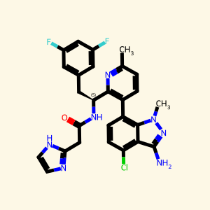 Cc1ccc(-c2ccc(Cl)c3c(N)nn(C)c23)c([C@H](Cc2cc(F)cc(F)c2)NC(=O)Cc2ncc[nH]2)n1